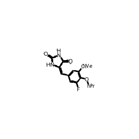 CCCOc1c(F)cc(C=C2NC(=O)NC2=O)cc1OC